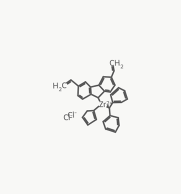 C=Cc1ccc2c(c1)-c1cc(C=C)ccc1[CH]2[Zr+2]([C]1=CC=CC1)=[C](c1ccccc1)c1ccccc1.[Cl-].[Cl-]